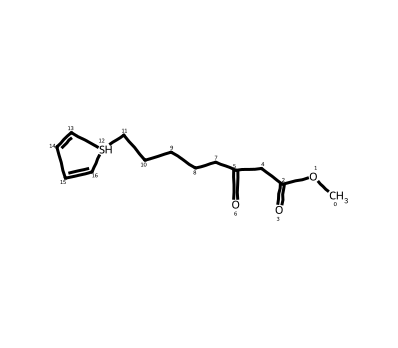 COC(=O)CC(=O)CCCCC[SH]1C=CC=C1